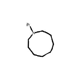 CC(C)N1CCCCCCCC1